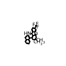 CC1(C)CC(=O)C2=C(C1)c1c(ccc3ccccc13)NC2c1ccc(C(F)(F)F)cc1